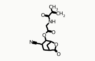 C=C(C)C(=O)NCC(=O)OC1C(C#N)CC2CC1OC2=O